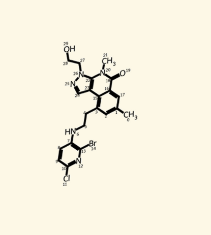 Cc1cc(CCNc2ccc(Cl)nc2Br)c2c(c1)c(=O)n(C)c1c2cnn1CCO